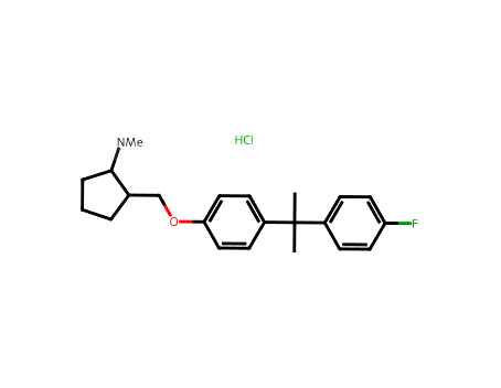 CNC1CCCC1COc1ccc(C(C)(C)c2ccc(F)cc2)cc1.Cl